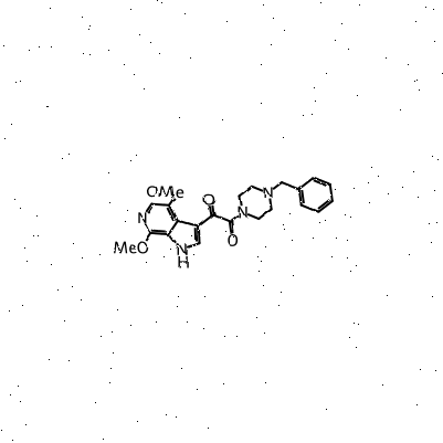 COc1ncc(OC)c2c(C(=O)C(=O)N3CCN(Cc4ccccc4)CC3)c[nH]c12